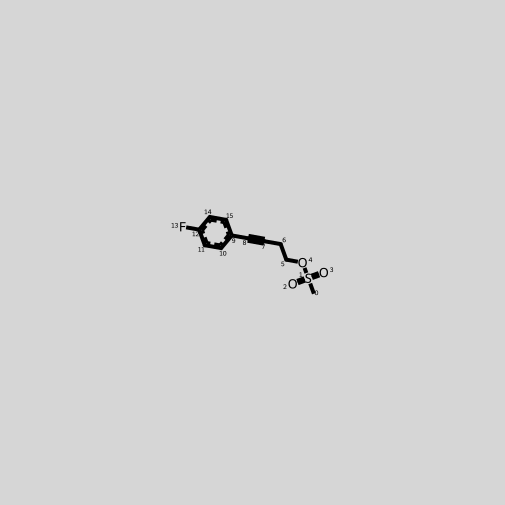 CS(=O)(=O)OCCC#Cc1ccc(F)cc1